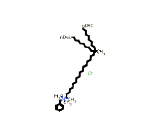 CCCCCCCCCCCCCCCCCCC(C)(CCCCCCCCCCCCCCCCCC)CCCCCCCCCCCCCCCCC(C)[N+](C)(C)Cc1ccccc1.[Cl-]